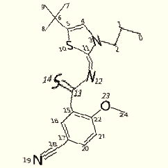 CCCn1cc(C(C)(C)C)s/c1=N\C(=S)c1cc(C#N)ccc1OC